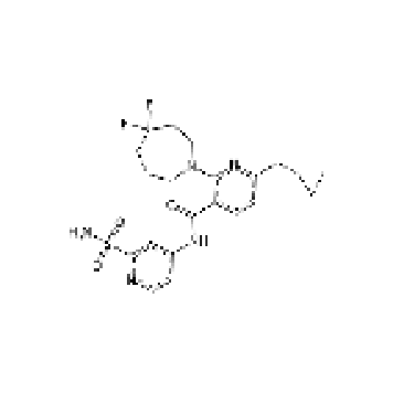 NS(=O)(=O)c1cc(NC(=O)c2ccc(CC3CC3)nc2N2CCCC(F)(F)CC2)ccn1